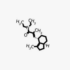 CCN(CC)C(=O)/C(C)=C/[C@@H]1CCC[C@H]2CCC(C)=C21